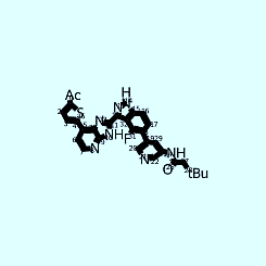 CC(=O)c1ccc(-c2ccnc3[nH]c(-c4n[nH]c5ccc(-c6cncc(NC(=O)CC(C)(C)C)c6)c(F)c45)nc23)s1